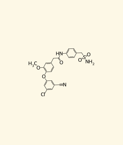 COc1cc(CC(=O)Nc2ccc(CS(N)(=O)=O)cc2)ccc1Oc1cc(Cl)cc(C#N)c1